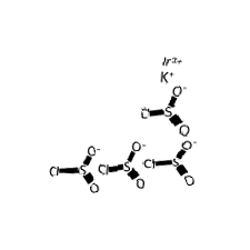 O=S([O-])Cl.O=S([O-])Cl.O=S([O-])Cl.O=S([O-])Cl.[Ir+3].[K+]